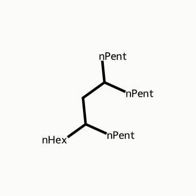 CCCCCCC(CCCCC)CC(CCCCC)CCCCC